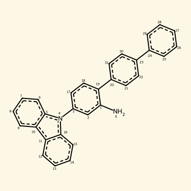 Nc1cc(-n2c3ccccc3c3ccccc32)ccc1-c1ccc(-c2ccccc2)cc1